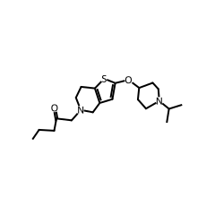 CCCC(=O)CN1CCc2sc(OC3CCN(C(C)C)CC3)cc2C1